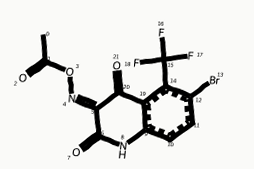 CC(=O)ON=C1C(=O)Nc2ccc(Br)c(C(F)(F)F)c2C1=O